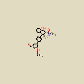 CCOc1cc(C=O)cc(-c2ccc(-c3cc(C(=O)N(C)C)c(O)c4ccccc34)cc2)c1